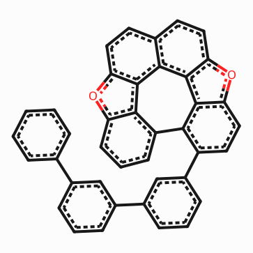 c1ccc(-c2cccc(-c3cccc(-c4ccc5oc6ccc7ccc8oc9cccc%10c9c8c7c6c5c4-%10)c3)c2)cc1